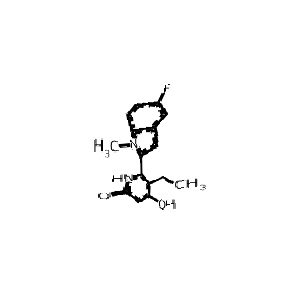 CCc1c(O)cc(=O)[nH]c1-c1cc2cc(F)ccc2n1C